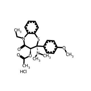 CCN1C(=O)[C@H](OC(C)=O)[C@@](c2ccc(OC)cc2)(N(C)C)Sc2ccccc21.Cl